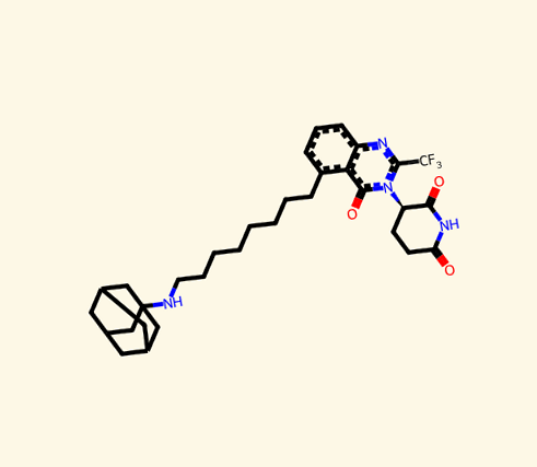 O=C1CC[C@@H](n2c(C(F)(F)F)nc3cccc(CCCCCCCCNC45CC6CC(CC(C6)C4)C5)c3c2=O)C(=O)N1